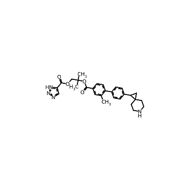 Cc1cc(C(=O)OC(C)(C)COC(=O)c2cnn[nH]2)ccc1-c1ccc(C2CC23CCNCC3)cc1